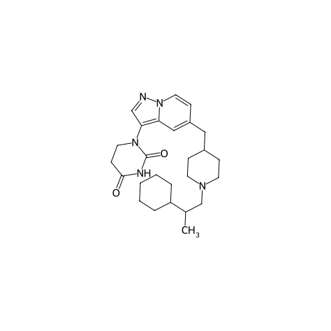 CC(CN1CCC(Cc2ccn3ncc(N4CCC(=O)NC4=O)c3c2)CC1)C1CCCCC1